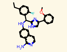 CCc1ccc(F)c(C(Nc2ccc3c(N)nccc3c2)c2nc(-c3ccccc3OC)c[nH]2)c1